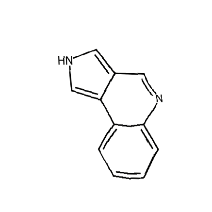 c1ccc2c(c1)ncc1c[nH]cc12